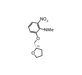 CNc1c(OC[C@@H]2CCCO2)cccc1[N+](=O)[O-]